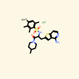 COc1cc(C)c(S(=O)(=O)NC(Cc2cc3c(N)nccc3s2)C(=O)N2CCC(C)CC2)c(C)c1C.Cl